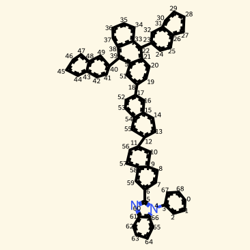 c1ccc(-n2c(-c3ccc4cc(-c5ccc6cc(-c7ccc8c(-c9ccc%10ccccc%10c9)c9ccccc9c(-c9ccc%10ccccc%10c9)c8c7)ccc6c5)ccc4c3)nc3ccccc32)cc1